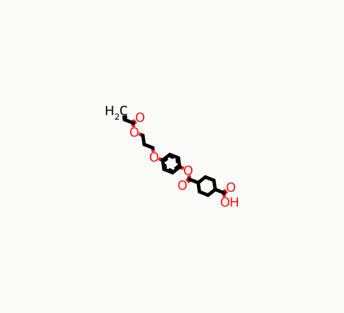 C=CC(=O)OCCCOc1ccc(OC(=O)C2CCC(C(=O)O)CC2)cc1